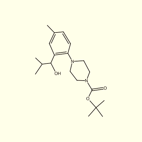 Cc1ccc(N2CCN(C(=O)OC(C)(C)C)CC2)c(C(O)C(C)C)c1